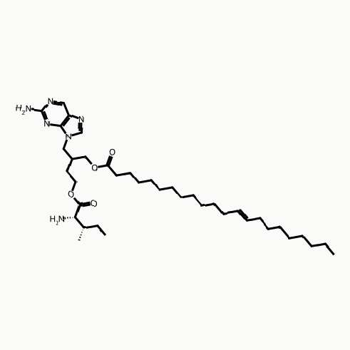 CCCCCCCCC=CCCCCCCCCCCCC(=O)OCC(CCOC(=O)[C@@H](N)[C@@H](C)CC)Cn1cnc2cnc(N)nc21